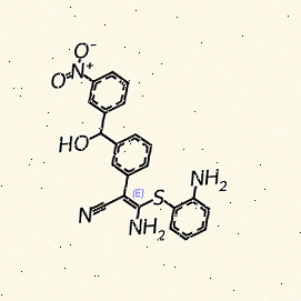 N#C/C(=C(\N)Sc1ccccc1N)c1cccc(C(O)c2cccc([N+](=O)[O-])c2)c1